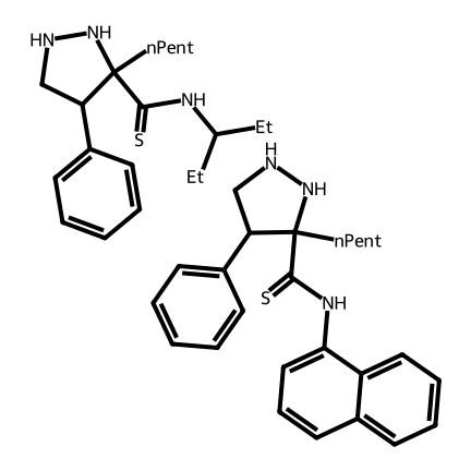 CCCCCC1(C(=S)NC(CC)CC)NNCC1c1ccccc1.CCCCCC1(C(=S)Nc2cccc3ccccc23)NNCC1c1ccccc1